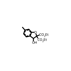 CCOC(=O)C1(C(=O)OCC)Oc2cc(C)ccc2C1O